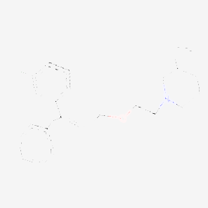 CCOC(=O)C1CCCN(CCOCC=C(c2ccccc2)c2cccc(Cl)c2)C1